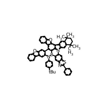 CC(C)(C)c1ccc(N2B3c4cc5nc(-c6ccccc6)sc5cc4-n4c5cc6c(cc5c5c7oc8ccccc8c7c(c3c54)-c3cc4oc5ccccc5c4cc32)C(C)(C)CCC6(C)C)cc1